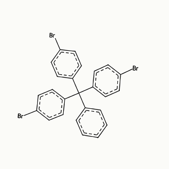 Brc1ccc(C(c2ccccc2)(c2ccc(Br)cc2)c2ccc(Br)cc2)cc1